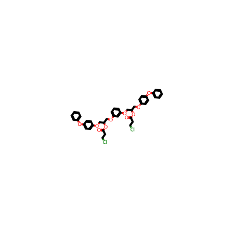 O=C(CCCl)OC(COc1ccc(Oc2ccccc2)cc1)COc1cccc(OCC(COc2ccc(Oc3ccccc3)cc2)OC(=O)CCCl)c1